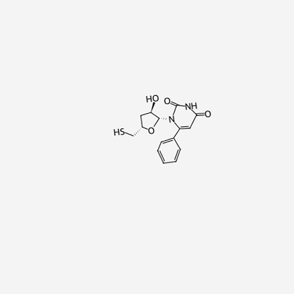 O=c1cc(-c2ccccc2)n([C@@H]2O[C@H](CS)C[C@H]2O)c(=O)[nH]1